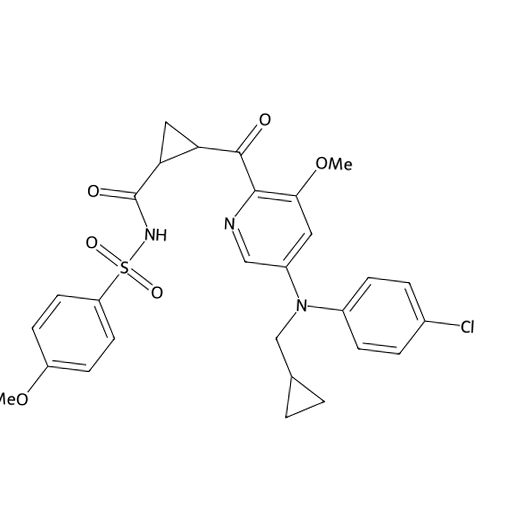 COc1ccc(S(=O)(=O)NC(=O)C2CC2C(=O)c2ncc(N(CC3CC3)c3ccc(Cl)cc3)cc2OC)cc1